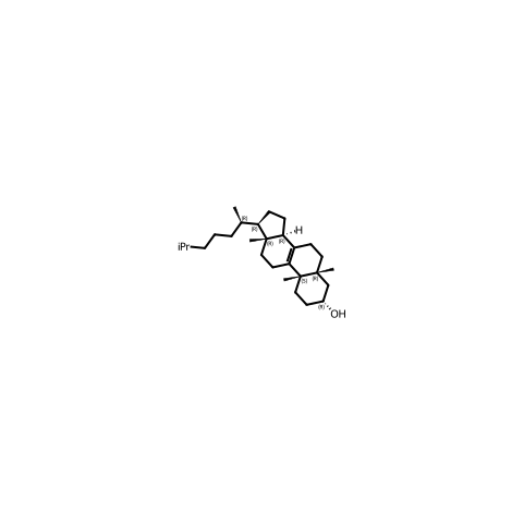 CC(C)CCC[C@@H](C)[C@H]1CC[C@H]2C3=C(CC[C@]12C)[C@@]1(C)CC[C@@H](O)C[C@@]1(C)CC3